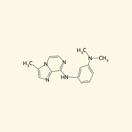 Cc1cnc2c(Nc3cccc(N(C)C)c3)nccn12